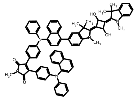 CN1C(=O)C(c2ccc(N(c3ccccc3)c3cccc4ccccc34)cc2)=C(c2ccc(N(c3ccccc3)c3ccc(-c4ccc5c(c4)C(C)(C)C(=C4C(O)C(=C6N(C)c7ccccc7C6(C)C)C4O)N5C)c4ccccc34)cc2)C1=O